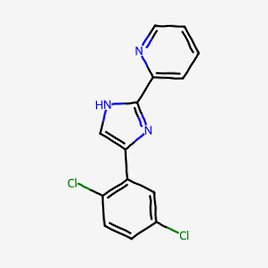 Clc1ccc(Cl)c(-c2c[nH]c(-c3ccccn3)n2)c1